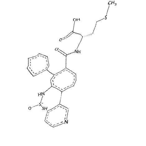 CSCC[C@H](NC(=O)c1ccc(-c2cccnc2)c(N[S+]([O-])S)c1-c1ccccc1)C(=O)O